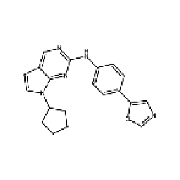 c1ncc(-c2ccc(Nc3ncc4ccn(C5CCCC5)c4n3)cc2)o1